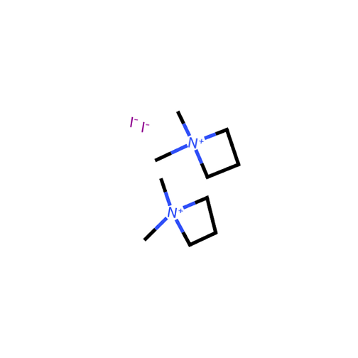 C[N+]1(C)CCC1.C[N+]1(C)CCC1.[I-].[I-]